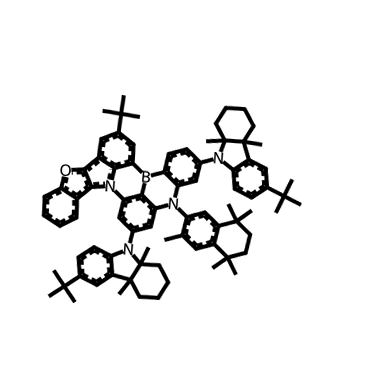 Cc1cc2c(cc1N1c3cc(N4c5ccc(C(C)(C)C)cc5C5(C)CCCCC45C)ccc3B3c4c1cc(N1c5ccc(C(C)(C)C)cc5C5(C)CCCCC15C)cc4-n1c4c3cc(C(C)(C)C)cc4c3oc4ccccc4c31)C(C)(C)CCC2(C)C